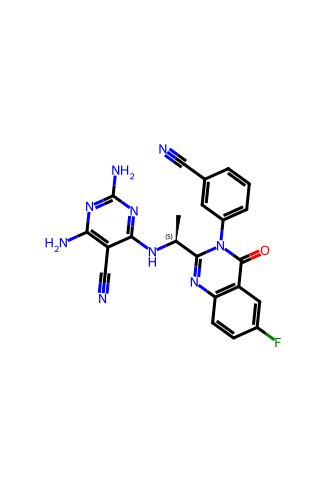 C[C@H](Nc1nc(N)nc(N)c1C#N)c1nc2ccc(F)cc2c(=O)n1-c1cccc(C#N)c1